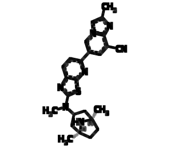 Cc1cn2cc(-c3ccc4nc(N(C)C5C[C@]6(C)CC[C@](C)(C5)N6)sc4n3)cc(C#N)c2n1